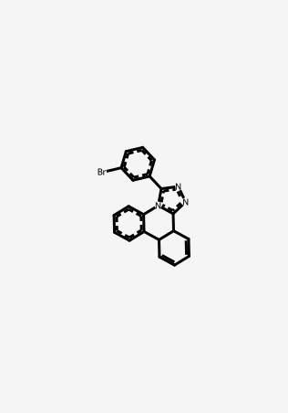 Brc1cccc(-c2nnc3n2-c2ccccc2C2C=CC=CC32)c1